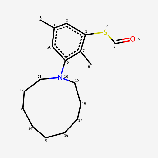 Cc1cc(SC=O)c(C)c(N2CCCCCCCCC2)c1